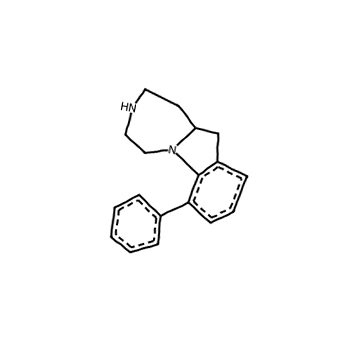 c1ccc(-c2cccc3c2N2CCNCCC2C3)cc1